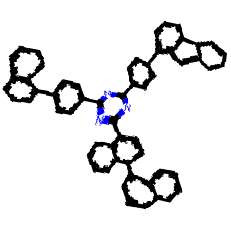 C1=CC2=Cc3c(-c4ccc(-c5nc(-c6ccc(-c7cccc8ccccc78)cc6)nc(-c6ccc(-c7cccc8ccccc78)c7ccccc67)n5)cc4)cccc3C2C=C1